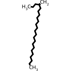 C=C(CCC)CCCCCCCCCCCCCCCCCCC